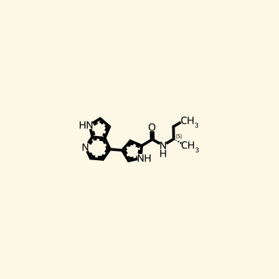 CC[C@H](C)NC(=O)c1cc(-c2ccnc3[nH]ccc23)c[nH]1